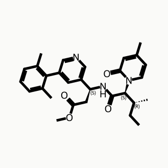 CC[C@@H](C)[C@@H](C(=O)N[C@@H](CC(=O)OC)c1cncc(-c2c(C)cccc2C)c1)n1ccc(C)cc1=O